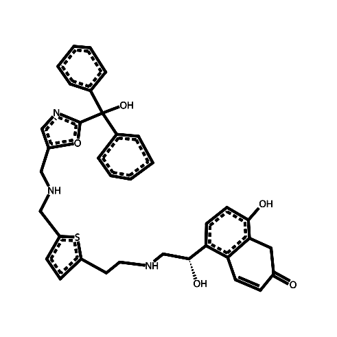 O=C1C=Cc2c([C@H](O)CNCCc3ccc(CNCc4cnc(C(O)(c5ccccc5)c5ccccc5)o4)s3)ccc(O)c2C1